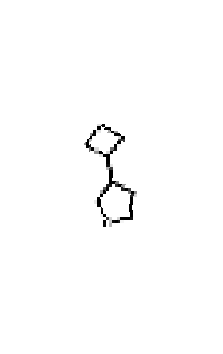 C1C[C](C2CCOC2)C1